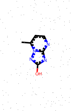 Cc1ccnc2nc(O)nn12